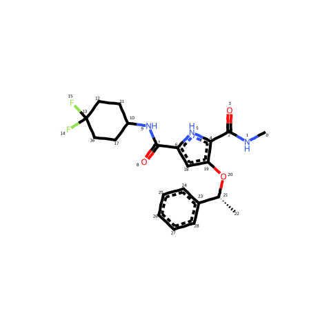 CNC(=O)c1[nH]c(C(=O)NC2CCC(F)(F)CC2)cc1O[C@H](C)c1ccccc1